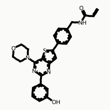 C=CC(=O)NCc1ccc(-c2cc3nc(-c4cccc(O)c4)nc(N4CCOCC4)c3s2)cc1